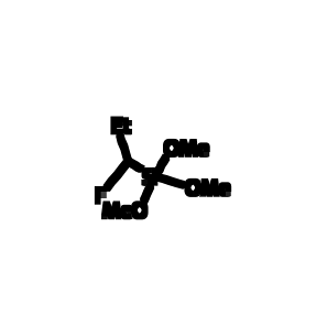 CCC(F)[Si](OC)(OC)OC